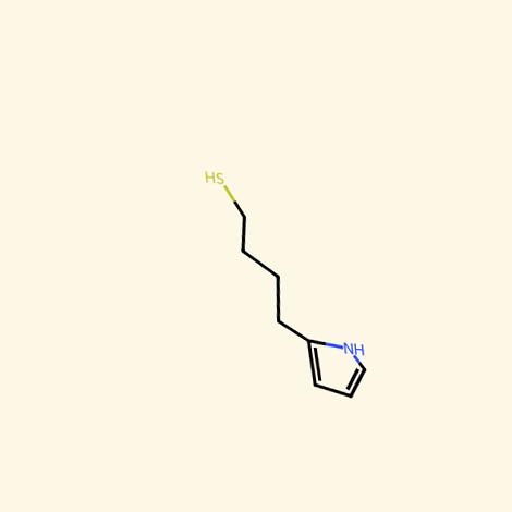 SCCCCc1ccc[nH]1